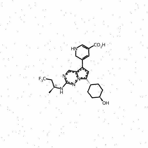 C[C@@H](CC(F)(F)F)Nc1ncc2c(C3=CC(C(=O)O)=CNC3)cc([C@H]3CC[C@H](O)CC3)n2n1